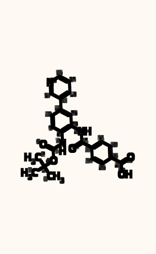 CC(C)(C)OC(=O)Nc1ccc(-c2cccnc2)cc1NC(=O)c1ccc(C(=O)O)cc1